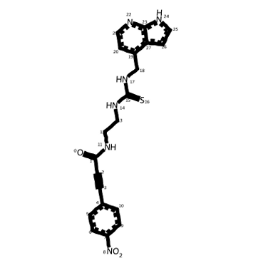 O=C(C#Cc1ccc([N+](=O)[O-])cc1)NCCNC(=S)NCc1ccnc2[nH]ccc12